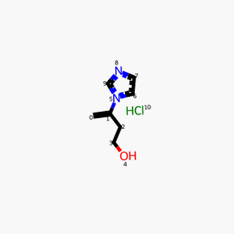 C=C(CCO)n1ccnc1.Cl